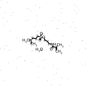 C=C(C)C(=O)NCCCOS(=O)(=O)CCCN(C)C.O